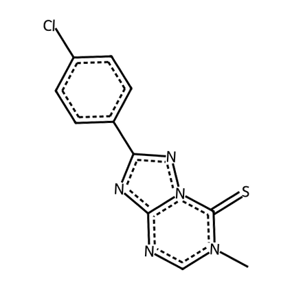 Cn1cnc2nc(-c3ccc(Cl)cc3)nn2c1=S